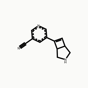 N#Cc1cncc(C2=CC3CNCC23)c1